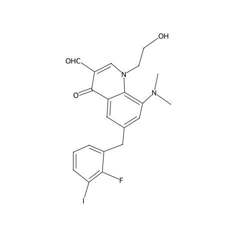 CN(C)c1cc(Cc2cccc(I)c2F)cc2c(=O)c(C=O)cn(CCO)c12